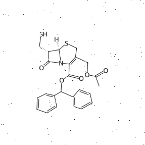 CC(=O)OCC1=C(C(=O)OC(c2ccccc2)c2ccccc2)N2C(=O)[C@H](CS)[C@H]2SC1